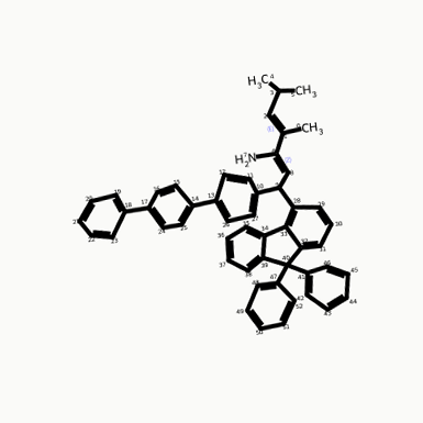 CC(=C\C(C)C)/C(N)=C/C(c1ccc(-c2ccc(-c3ccccc3)cc2)cc1)c1cccc2c1-c1ccccc1C2(c1ccccc1)c1ccccc1